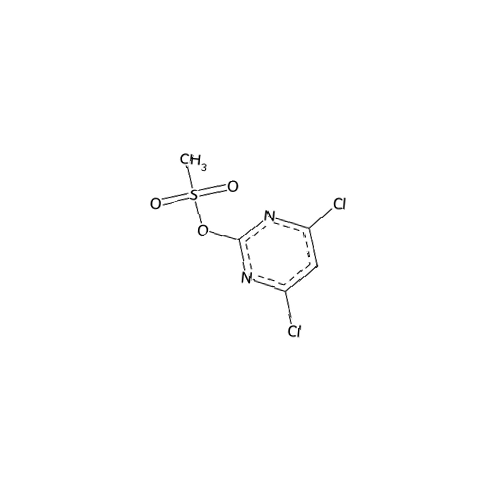 CS(=O)(=O)Oc1nc(Cl)cc(Cl)n1